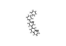 c1ccc(-c2cccc(-c3ccc(-c4ccc5cccnc5c4)cn3)c2)cc1